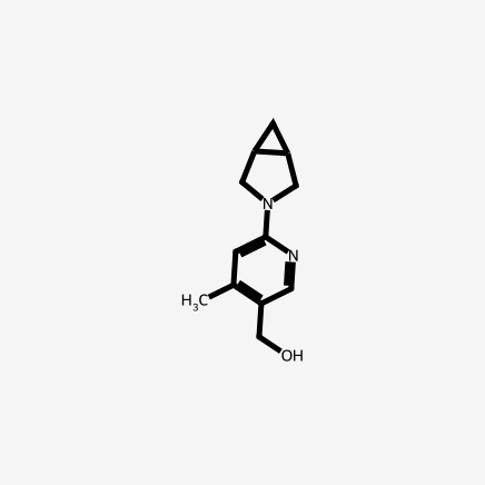 Cc1cc(N2CC3CC3C2)ncc1CO